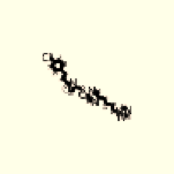 Clc1ccc(/C=C/c2nc(COc3cnc(CCCCn4cncn4)cn3)co2)cc1